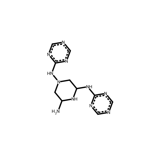 NC1CN(Nc2ncncn2)CC(Nc2ncncn2)N1